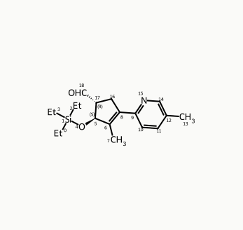 CC[Si](CC)(CC)O[C@@H]1C(C)=C(c2ccc(C)cn2)C[C@H]1C=O